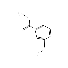 NNC(=O)c1cccc(NN)c1